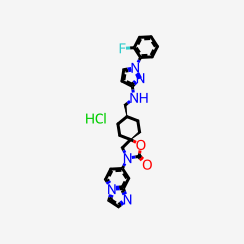 Cl.O=C1O[C@]2(CC[C@H](CNc3ccn(-c4ccccc4F)n3)CC2)CN1c1ccn2ccnc2c1